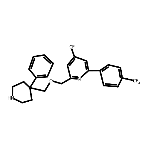 FC(F)(F)c1ccc(-c2cc(C(F)(F)F)cc(COCC3(c4ccccc4)CCNCC3)n2)cc1